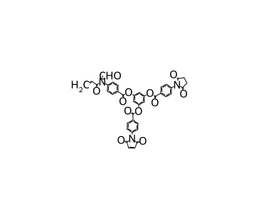 C=CC(=O)N(C=O)c1ccc(C(=O)Oc2cc(OC(=O)c3ccc(N4C(=O)C=CC4=O)cc3)cc(OC(=O)c3ccc(N4C(=O)CCC4=O)cc3)c2)cc1